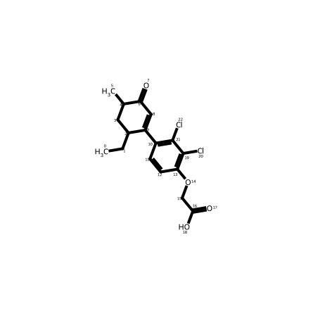 CCC1CC(C)C(=O)C=C1c1ccc(OCC(=O)O)c(Cl)c1Cl